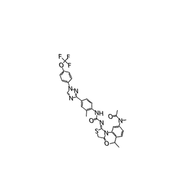 CC(=O)N(C)c1ccc(C(C)C)c(N2C(=O)CSC2=NC(=O)Nc2ccc(-c3ncn(-c4ccc(OC(F)(F)F)cc4)n3)cc2C)c1